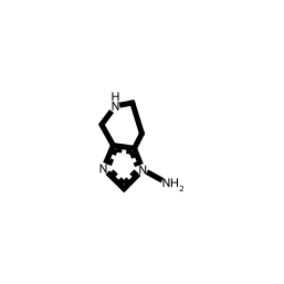 Nn1cnc2c1CCNC2